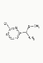 CSC(C)c1ccnc(Cl)n1